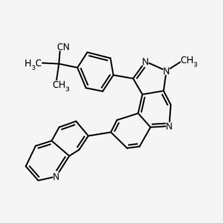 Cn1nc(-c2ccc(C(C)(C)C#N)cc2)c2c3cc(-c4ccc5cccnc5c4)ccc3ncc21